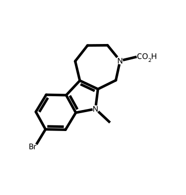 Cn1c2c(c3ccc(Br)cc31)CCCN(C(=O)O)C2